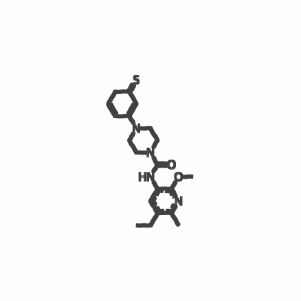 CCc1cc(NC(=O)N2CCN(C3=CC(=S)CC=C3)CC2)c(OC)nc1C